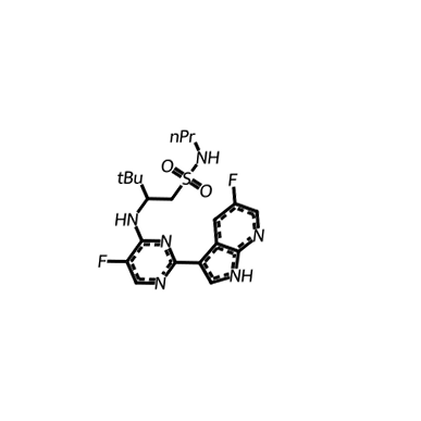 CCCNS(=O)(=O)CC(Nc1nc(-c2c[nH]c3ncc(F)cc23)ncc1F)C(C)(C)C